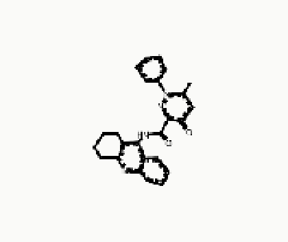 Cc1cc(=O)c(C(=O)Nc2c3c(nc4ccccc24)CCCC3)nn1-c1ccccc1